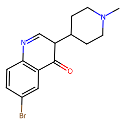 CN1CCC(C2C=Nc3ccc(Br)cc3C2=O)CC1